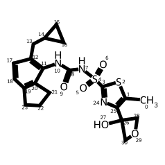 Cc1sc(S(=O)(=O)NC(=O)Nc2c(CC3CC3)ccc3c2CCC3)nc1C1(O)COC1